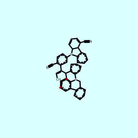 C=CC(I)C(/C(=C\C)c1cc(N2c3ccccc3C3C(C#N)=CC=CC32)ccc1C#N)c1ccccc1N1Cc2ccccc2-c2ccccc21